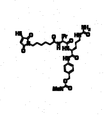 CNC(=O)OCc1ccc(NC(=O)[C@H](CCCNC(N)=O)NC(=O)C(NC(=O)CCCCCN2C(=O)C=C(S)C2=O)C(C)C)cc1